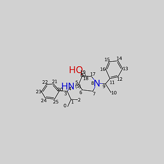 CC(C)C(N[C@H]1CCN(C(C)c2ccccc2)C[C@@H]1O)c1ccccc1